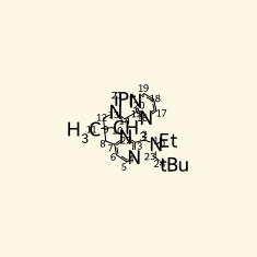 CCN(Cc1nccc(CC(C)(C)CN(Cc2ncccn2)C(C)C)n1)CC(C)(C)C